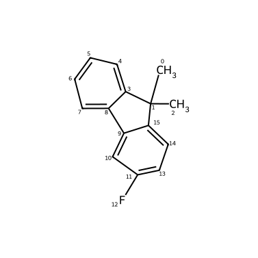 CC1(C)c2ccccc2-c2cc(F)ccc21